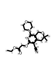 CCOC(=O)COc1nc(N2CCOCC2)c2c(c1C#N)CC(C)(C)OC2